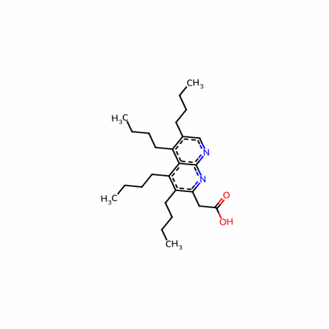 CCCCc1cnc2nc(CC(=O)O)c(CCCC)c(CCCC)c2c1CCCC